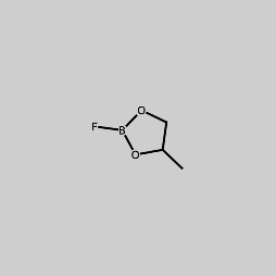 CC1COB(F)O1